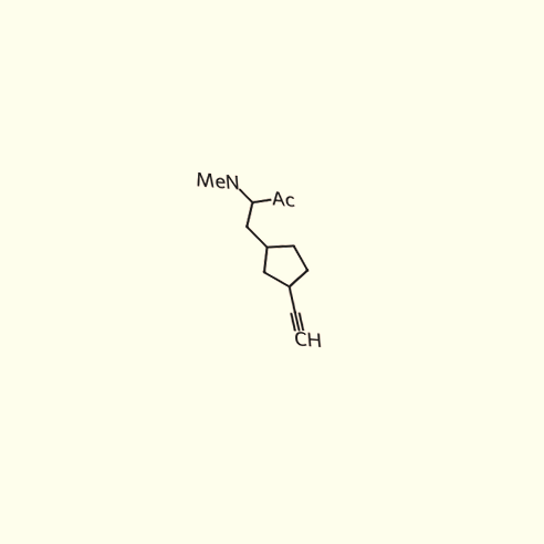 C#CC1CCC(CC(NC)C(C)=O)C1